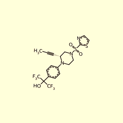 CC#C[C@@H]1CN(S(=O)(=O)c2nccs2)CCN1c1ccc(C(O)(C(F)(F)F)C(F)(F)F)cc1